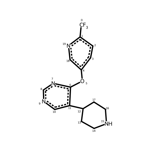 FC(F)(F)c1ccc(Oc2ncncc2C2CCNCC2)cn1